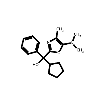 Cc1nc(C(O)(c2ccccc2)C2CCCC2)oc1N(C)C